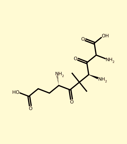 CC(C)(C(=O)[C@@H](N)CCC(=O)O)[C@H](N)C(=O)C(N)C(=O)O